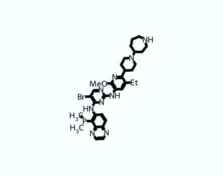 CCc1cc(Nc2ncc(Br)c(Nc3ccc4nccnc4c3P(C)C)n2)c(OC)nc1C1CCN(C2CCCNCC2)CC1